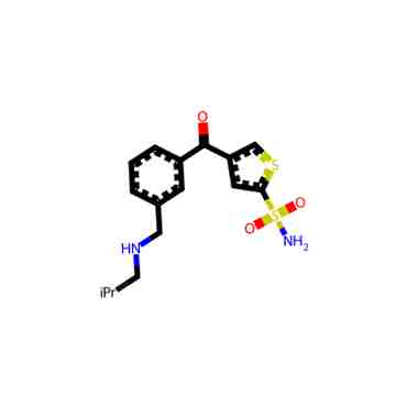 CC(C)CNCc1cccc(C(=O)c2csc(S(N)(=O)=O)c2)c1